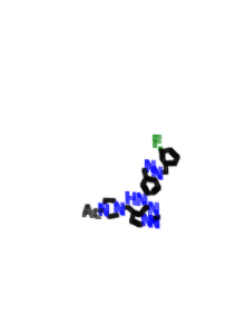 CC(=O)N1CCN(Cc2ccn3ncnc(Nc4ccc5c(cnn5Cc5cccc(F)c5)c4)c23)CC1